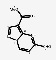 COC(=O)c1cnn2ccc(C=O)nc12